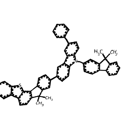 CC1(C)c2ccccc2-c2ccc(-n3c4ccc(-c5ccccc5)cc4c4cc(-c5ccc6c(c5)C(C)(C)c5ccc7c(sc8ccccc87)c5-6)ccc43)cc21